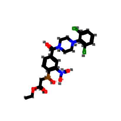 CCOC(=O)C[S+]([O-])c1ccc(C(=O)N2CCN(c3c(Cl)cccc3Cl)CC2)cc1[N+](=O)[O-]